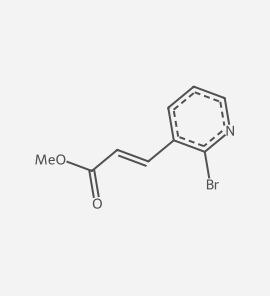 COC(=O)/C=C/c1cccnc1Br